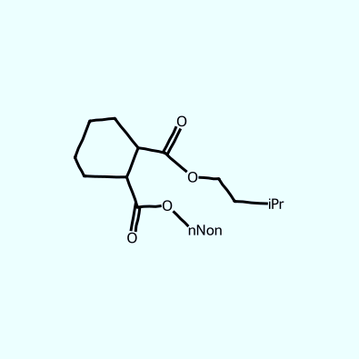 CCCCCCCCCOC(=O)C1CCCCC1C(=O)OCCC(C)C